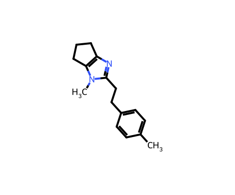 Cc1ccc(CCc2nc3c(n2C)CCC3)cc1